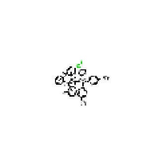 CC1=CC=CC2[CH]([Zr+2]([C]3=CC=CC3)=[C](c3ccc(C(C)C)cc3)c3ccc(C(C)C)cc3)C3(C)C4(C)C=CC=CC4(C)C4(C)C=CC=CC4(C)C3(C)C12C.[Cl-].[Cl-]